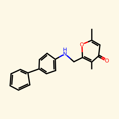 Cc1cc(=O)c(C)c(CNc2ccc(-c3ccccc3)cc2)o1